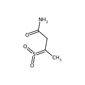 CC(CC(N)=O)=S(=O)=O